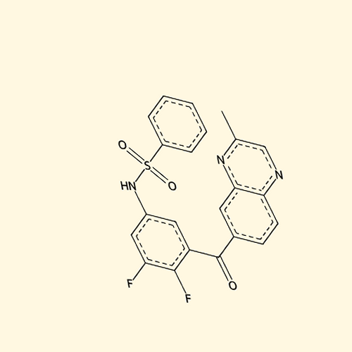 Cc1cnc2ccc(C(=O)c3cc(NS(=O)(=O)c4ccccc4)cc(F)c3F)cc2n1